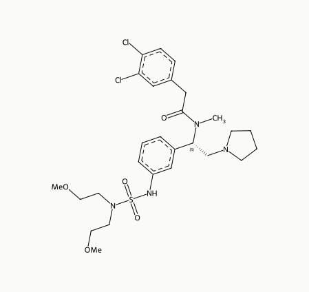 COCCN(CCOC)S(=O)(=O)Nc1cccc([C@@H](CN2CCCC2)N(C)C(=O)Cc2ccc(Cl)c(Cl)c2)c1